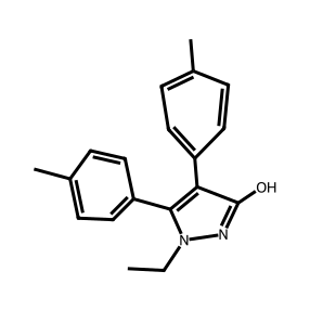 CCn1nc(O)c(-c2ccc(C)cc2)c1-c1ccc(C)cc1